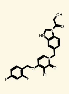 O=C(CO)N1CNc2cc(Cn3ccc(OCc4ccc(F)cc4F)c(Cl)c3=O)ccc21